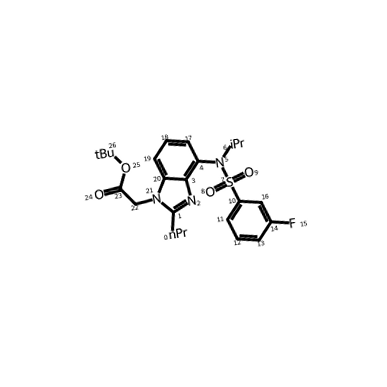 CCCc1nc2c(N(C(C)C)S(=O)(=O)c3cccc(F)c3)cccc2n1CC(=O)OC(C)(C)C